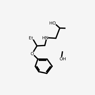 CCC(CNCC(C)O)Oc1ccccc1.CO